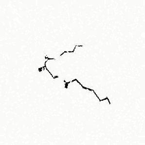 C=C(COC(=O)CCCCCC)C(=O)OCCCC